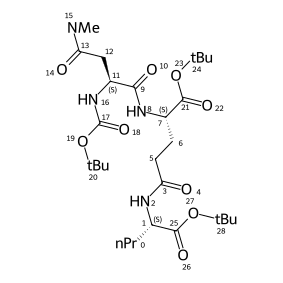 CCC[C@H](NC(=O)CC[C@H](NC(=O)[C@H](CC(=O)NC)NC(=O)OC(C)(C)C)C(=O)OC(C)(C)C)C(=O)OC(C)(C)C